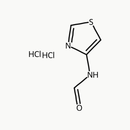 Cl.Cl.O=CNc1cscn1